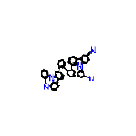 N#Cc1cccc(-n2c3ccc(C#N)cc3c3cccc(C4=C(c5ccccc5-c5ccc6c7ccccc7n(-c7ccccc7C#N)c6c5)CCC=C4)c32)c1